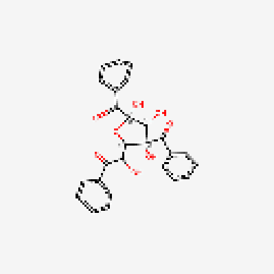 O=C(c1ccccc1)C(O)[C@H]1O[C@@](O)(C(=O)c2ccccc2)[C@H](O)[C@@]1(O)C(=O)c1ccccc1